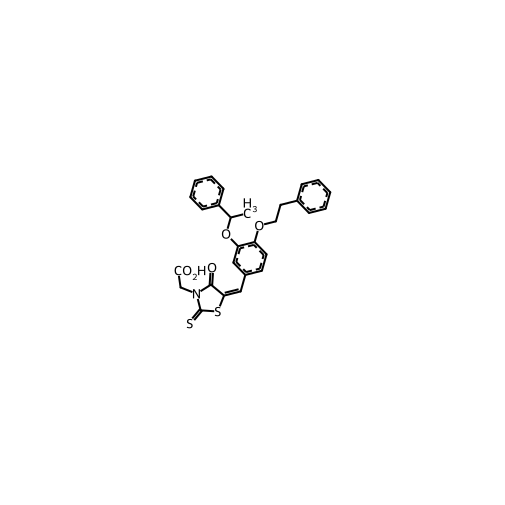 CC(Oc1cc(C=C2SC(=S)N(CC(=O)O)C2=O)ccc1OCCc1ccccc1)c1ccccc1